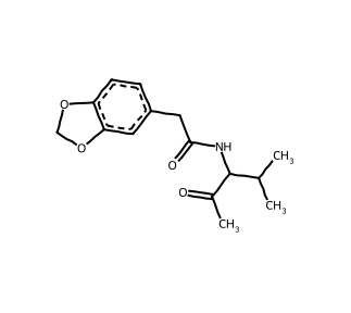 CC(=O)C(NC(=O)Cc1ccc2c(c1)OCO2)C(C)C